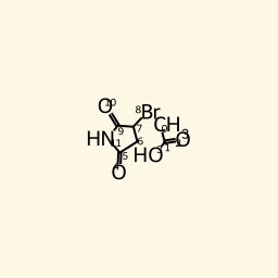 CC(=O)O.O=C1CC(Br)C(=O)N1